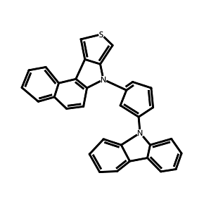 c1cc(-n2c3ccccc3c3ccccc32)cc(-n2c3cscc3c3c4ccccc4ccc32)c1